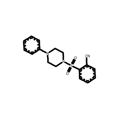 N#Cc1ccccc1S(=O)(=O)N1CCN(c2ccccc2)CC1